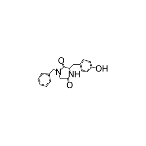 O=C1CN(Cc2ccccc2)C(=O)C(Cc2ccc(O)cc2)N1